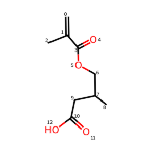 C=C(C)C(=O)OCC(C)CC(=O)O